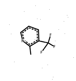 Cc1ncccc1C(F)(F)F